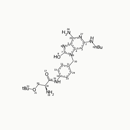 CCCCNc1cc2c(nc(O)n2Cc2ccc(NC(=O)[C@@H](N)COC(C)(C)C)cc2)c(N)n1